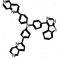 c1ccc2c(c1)sc1ncnc(-c3ccc(N(c4ccc(-c5ccc6cnccc6n5)cc4)c4ccc(-c5ccc6cnccc6n5)cc4)cc3)c12